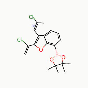 C=C(Cl)c1oc2c(B3OC(C)(C)C(C)(C)O3)cccc2c1/C=C(\C)Cl